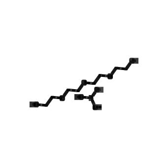 OB(O)O.OCCOCCOCCOCCO